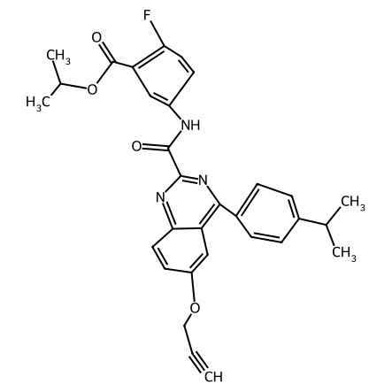 C#CCOc1ccc2nc(C(=O)Nc3ccc(F)c(C(=O)OC(C)C)c3)nc(-c3ccc(C(C)C)cc3)c2c1